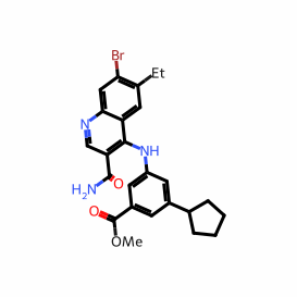 CCc1cc2c(Nc3cc(C(=O)OC)cc(C4CCCC4)c3)c(C(N)=O)cnc2cc1Br